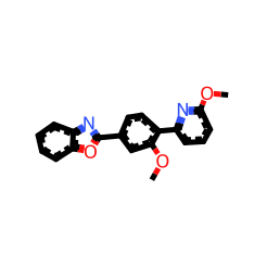 COc1cccc(-c2ccc(-c3nc4ccccc4o3)cc2OC)n1